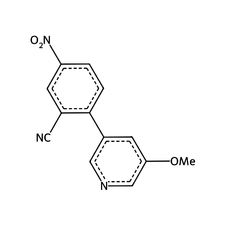 COc1cncc(-c2ccc([N+](=O)[O-])cc2C#N)c1